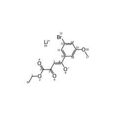 CCOC(=O)C(=O)C=C([O-])c1cc(Br)cc(OC)c1.[Li+]